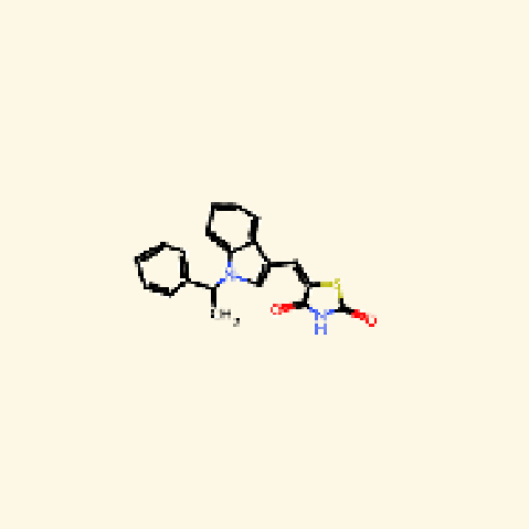 CC(c1ccccc1)n1cc(/C=C2/SC(=O)NC2=O)c2ccccc21